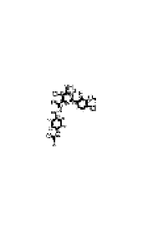 COc1c(Cl)ccc(-c2nc(N)c(Cl)c(C(=O)OCc3ccc(OC(C)=O)cc3)n2)c1F